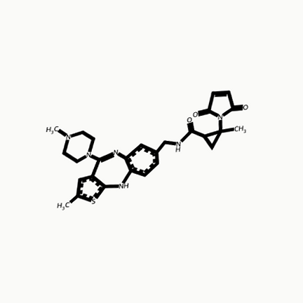 Cc1cc2c(s1)Nc1ccc(CNC(=O)C3CC3(C)N3C(=O)C=CC3=O)cc1N=C2N1CCN(C)CC1